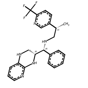 C[C@H](CN[C@H](c1ccccc1)[C@H]1CNc2cccnc2N1)c1ccc(C(F)(F)F)nc1